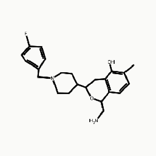 Cc1ccc2c(c1O)CC(C1CCN(Cc3ccc(F)cc3)CC1)OC2CN